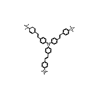 C[Si](C)(C)c1ccc(/C=C/c2ccc(N(c3ccc(/C=C/C4=CCC(S(C)(C)C)C=C4)cc3)c3ccc(/C=C/c4ccc(S(C)(C)C)cc4)cc3)cc2)cc1